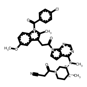 COc1ccc2c(c1)c(CC(=O)n1ccc3c(N(C)[C@H]4CN(C(=O)CC#N)CC[C@H]4C)ncnc31)c(C)n2C(=O)c1ccc(Cl)cc1